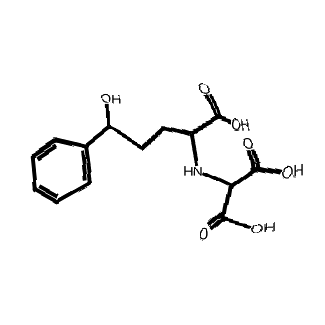 O=C(O)C(CCC(O)c1ccccc1)NC(C(=O)O)C(=O)O